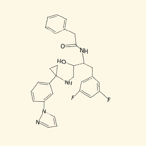 O=C(Cc1ccccc1)NC(Cc1cc(F)cc(F)c1)C(O)CNC1(c2cccc(-n3cccn3)c2)CC1